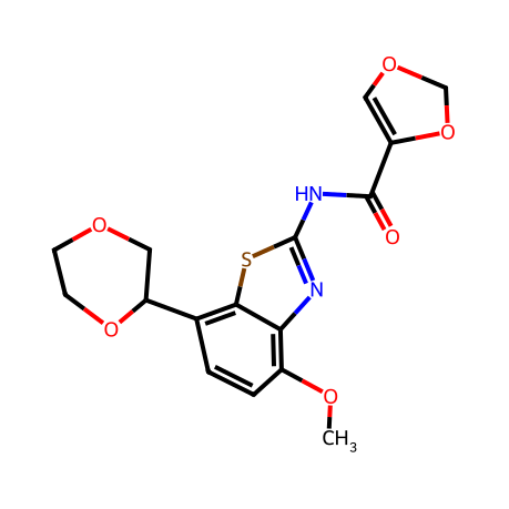 COc1ccc(C2COCCO2)c2sc(NC(=O)C3=COCO3)nc12